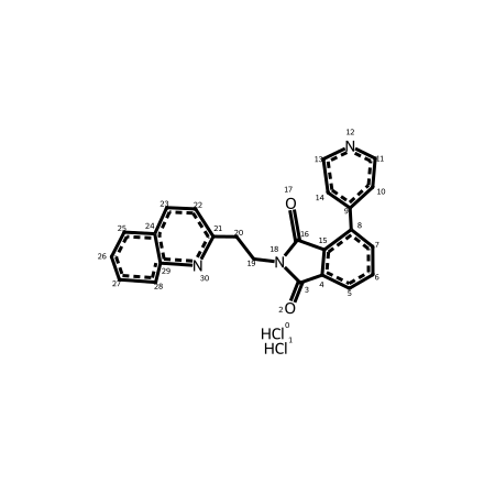 Cl.Cl.O=C1c2cccc(-c3ccncc3)c2C(=O)N1CCc1ccc2ccccc2n1